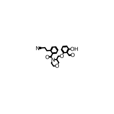 N#CCCc1ccccc1C(=O)N1CCOCC1COc1cccc(O)c1C=O